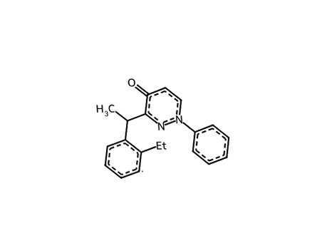 CCc1[c]cccc1C(C)c1nn(-c2ccccc2)ccc1=O